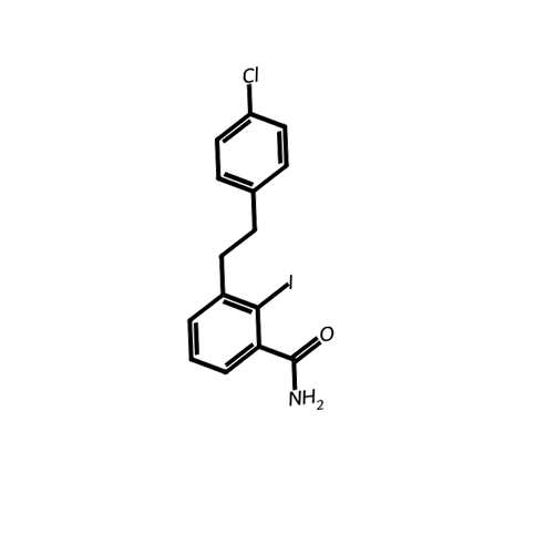 NC(=O)c1cccc(CCc2ccc(Cl)cc2)c1I